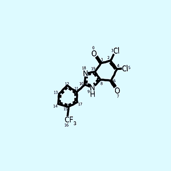 O=C1C(Cl)=C(Cl)C(=O)c2[nH]c(-c3cccc(C(F)(F)F)c3)nc21